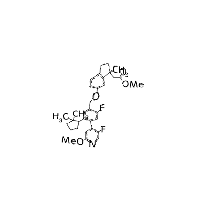 COC(=O)C[C@@]1(C)CCc2ccc(OCc3cc(C4CCCC4(C)C)c(-c4cc(OC)ncc4F)cc3F)cc21